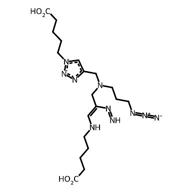 [N-]=[N+]=NCCCN(C/C(=C/NCCCCC(=O)O)N=N)Cc1cn(CCCCC(=O)O)nn1